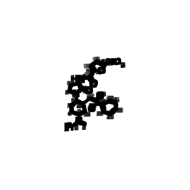 CC(C)N(C)[C@@H]1CC[C@H](N2CC[C@H](NC(=O)c3ccc([N+](=O)[O-])o3)C2=O)[C@@H](CS(=O)(=O)c2ccccc2)C1